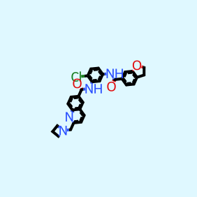 O=C(Nc1ccc(Cl)c(NC(=O)c2ccc3nc(CN4CCC4)ccc3c2)c1)c1ccc2c(c1)OCC2